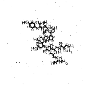 N=C(N)NCCC[C@H](NC(=O)CNC(=O)[C@H](N)CS)C(=O)N[C@@H](CC(=O)O)C(=O)N[C@@H](CO)C(=O)N1CCC[C@H]1C(=O)N[C@@H](CS)C(=O)N[C@@H](Cc1ccc(O)cc1)C(=O)O